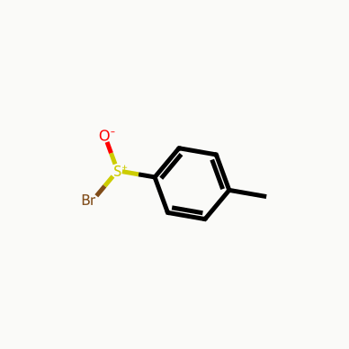 Cc1ccc([S+]([O-])Br)cc1